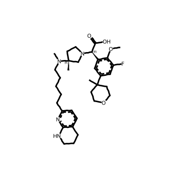 COc1c(F)cc(C2(C)CCOCC2)cc1[C@H](C(=O)O)N1CC[C@@](C)(N(C)CCCCCc2ccc3c(n2)NCCC3)C1